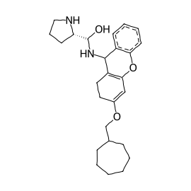 OC(NC1C2=C(C=C(OCC3CCCCCC3)CC2)Oc2ccccc21)[C@@H]1CCCN1